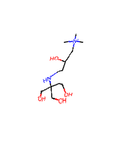 C[N+](C)(C)CC(O)CNC(CO)(CO)CO